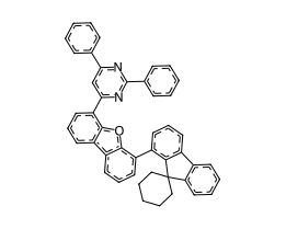 c1ccc(-c2cc(-c3cccc4c3oc3c(-c5cccc6c5C5(CCCCC5)c5ccccc5-6)cccc34)nc(-c3ccccc3)n2)cc1